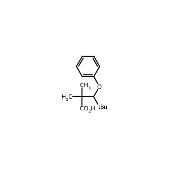 CC(C)(C)C(Oc1ccccc1)C(C)(C)C(=O)O